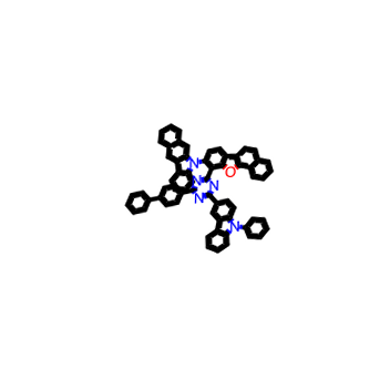 c1ccc(-c2ccc(-c3nc(-c4ccc5c(c4)c4ccccc4n5-c4ccccc4)nc(-c4c(-n5c6ccccc6c6cc7ccccc7cc65)ccc5c4oc4c6ccccc6ccc54)n3)cc2)cc1